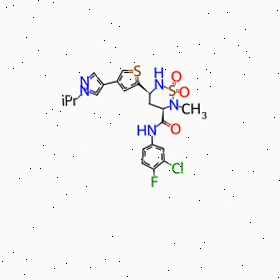 CC(C)n1cc(-c2csc([C@@H]3C[C@H](C(=O)Nc4ccc(F)c(Cl)c4)N(C)S(=O)(=O)N3)c2)cn1